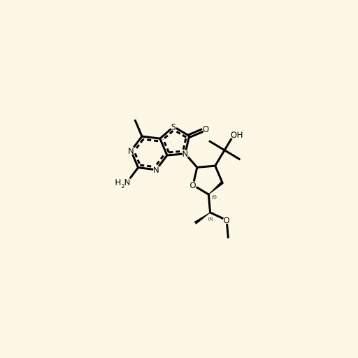 CO[C@@H](C)[C@@H]1CC(C(C)(C)O)C(n2c(=O)sc3c(C)nc(N)nc32)O1